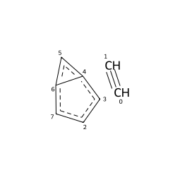 C#C.c1cc2cc-2c1